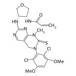 C=CC(=O)N[C@H]1COC[C@H]1Nc1ncc2c(n1)N(C)C(=S)N(c1c(Cl)c(OC)cc(OC)c1Cl)C2